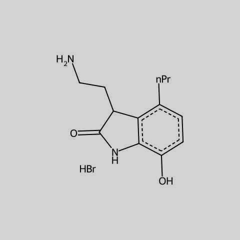 Br.CCCc1ccc(O)c2c1C(CCN)C(=O)N2